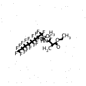 C=C(C(=O)OCC)C(C)NS(=O)(=O)C(F)(F)C(F)(F)C(F)(F)C(F)(F)C(F)(F)C(F)(F)C(F)(F)C(F)(F)F